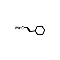 COC=CC1[CH]CCCC1